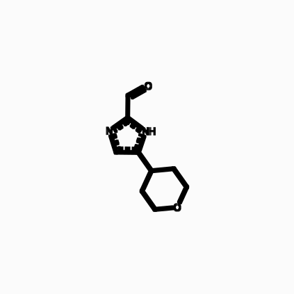 O=Cc1ncc(C2CCOCC2)[nH]1